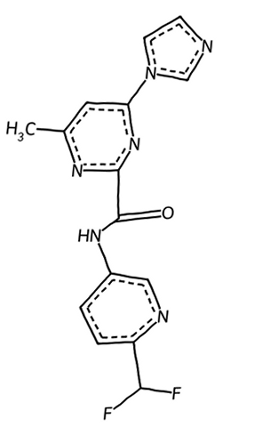 Cc1cc(-n2ccnc2)nc(C(=O)Nc2ccc(C(F)F)nc2)n1